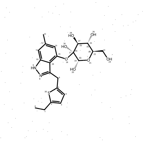 CCc1ccc(Cc2n[nH]c3cc(C)cc(O[C@]4(O)[C@@H](O)O[C@H](CO)[C@@H](O)[C@@H]4O)c23)s1